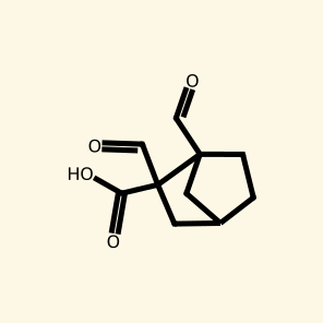 O=CC12CCC(C1)CC2(C=O)C(=O)O